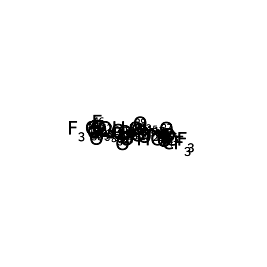 O=C1OC2(CCC3(CC2)OC(=O)C(=C/C=C/C=C/C2=C(O)OC(C(F)(F)F)(C(F)(F)F)OC2=O)C(=O)O3)OC(=O)C1=C/C=C/C=C/C1=C(O)OC(CF)(C(F)(F)F)OC1=O